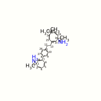 CC1(N)C=CC=CC(c2ccc(CCC3=C/C(C)(N)/C=C\C(C)(C)/C=C\3)cc2)=C1